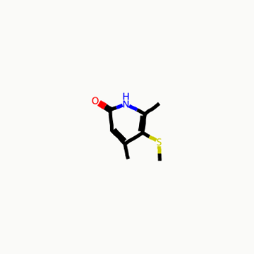 CSc1c(C)cc(=O)[nH]c1C